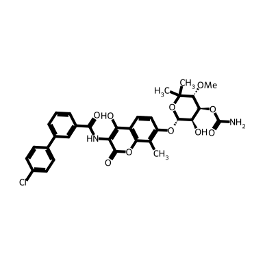 CO[C@@H]1[C@@H](OC(N)=O)[C@@H](O)[C@H](Oc2ccc3c(O)c(NC(=O)c4cccc(-c5ccc(Cl)cc5)c4)c(=O)oc3c2C)OC1(C)C